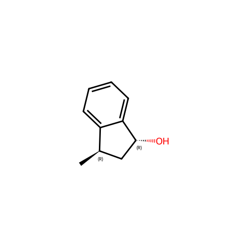 C[C@@H]1C[C@@H](O)c2ccccc21